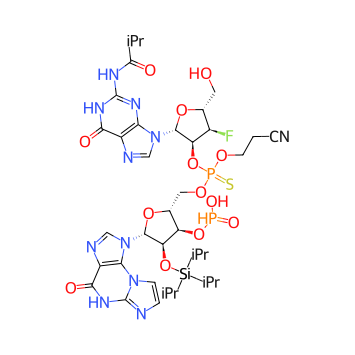 CC(C)C(=O)Nc1nc2c(ncn2[C@@H]2O[C@H](CO)[C@@H](F)[C@H]2OP(=S)(OCCC#N)OC[C@H]2O[C@@H](n3cnc4c(=O)[nH]c5nccn5c43)[C@H](O[Si](C(C)C)(C(C)C)C(C)C)[C@@H]2O[PH](=O)O)c(=O)[nH]1